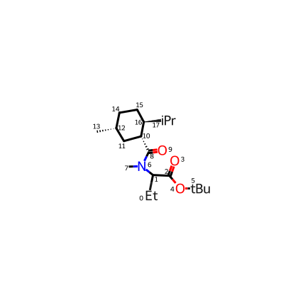 CCC(C(=O)OC(C)(C)C)N(C)C(=O)[C@@H]1C[C@H](C)CC[C@H]1C(C)C